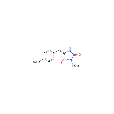 CCCCCCCCN1C(=O)NC(=Cc2ccc(OC)cc2)C1=O